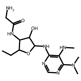 CCC1OC(Nc2ncnc(N(C)C)c2NC)C(O)C1NC(=O)CN